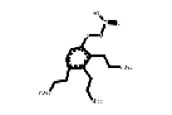 CCCCCCCCCCCCc1ccc(S[O][Ti](=[O])[OH])c(CCCCCCCCCCCC)c1CCCCCCCCCCCC